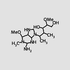 COC(CO)C(O)C(C)C(C)N1CNC2C(OC)N(C)C(N)NC21